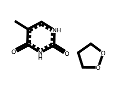 C1COOC1.Cc1c[nH]c(=O)[nH]c1=O